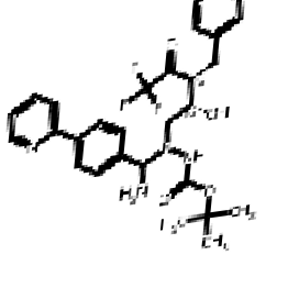 CC(C)(C)OC(=O)NN(C[C@@H](O)[C@H](Cc1ccccc1)C(=O)C(F)(F)F)C(N)c1ccc(-c2ccccn2)cc1